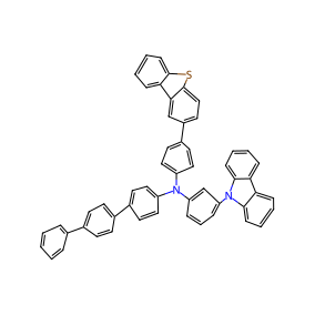 c1ccc(-c2ccc(-c3ccc(N(c4ccc(-c5ccc6sc7ccccc7c6c5)cc4)c4cccc(-n5c6ccccc6c6ccccc65)c4)cc3)cc2)cc1